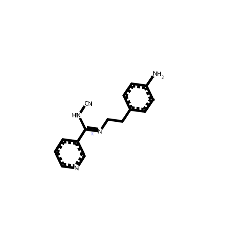 N#CN/C(=N\CCc1ccc(N)cc1)c1cccnc1